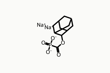 O=C(OC1C2CC3CC(C2)CC1C3)P(=O)([O-])[O-].[Na+].[Na+]